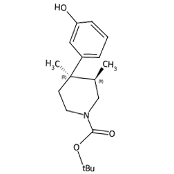 C[C@H]1CN(C(=O)OC(C)(C)C)CC[C@@]1(C)c1cccc(O)c1